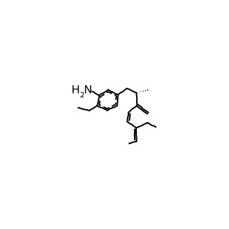 C=C(/C=C\C(=C/C)CC)[C@@H](C)Cc1ccc(CC)c(N)c1